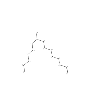 [CH2]C(CCCCCC)CCCCCCCC